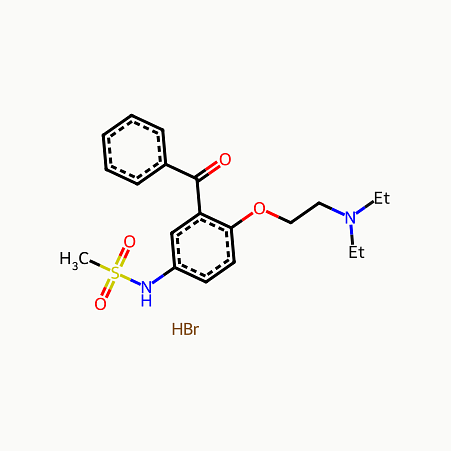 Br.CCN(CC)CCOc1ccc(NS(C)(=O)=O)cc1C(=O)c1ccccc1